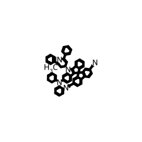 CC1(c2ccccc2)CC(n2c3c(c4ccc(N(C5=CC=CCC5)c5ccccc5)cc42)C2(c4cc(C#N)ccc4-c4ccc(C#N)cc42)c2ccccc2-3)C=C(c2ccccc2)N1